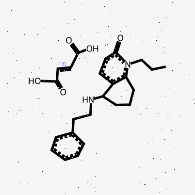 CCCn1c2c(ccc1=O)C(NCCc1ccccc1)CCC2.O=C(O)/C=C/C(=O)O